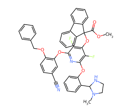 COC(=O)C1(Oc2c(F)c(Oc3cc(C#N)ccc3OCc3ccccc3)nc(Oc3ccccc3C3NCCN3C)c2F)c2ccccc2-c2ccccc21